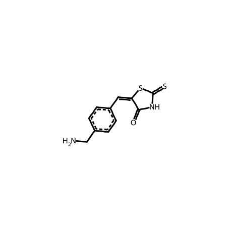 NCc1ccc(C=C2SC(=S)NC2=O)cc1